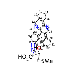 CSCCC(NC(=O)c1ccc(CN(CC2CCCCC2)c2cccnc2)cc1-c1ccccc1C)C(=O)O